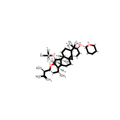 C=C(C)[C@@H](OC(C)=O)[C@H]1C[C@@H](C)[C@H]2[C@H](O1)[C@H](O[Si](CC)(CC)CC)[C@@]1(C)[C@@H]3CC[C@H]4C(C)(C)[C@@H](O[C@H]5CCCCO5)CC[C@@]45CC35CC[C@]21C